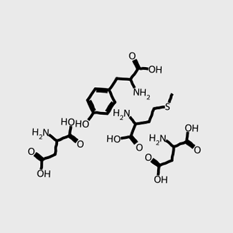 CSCCC(N)C(=O)O.NC(CC(=O)O)C(=O)O.NC(CC(=O)O)C(=O)O.NC(Cc1ccc(O)cc1)C(=O)O